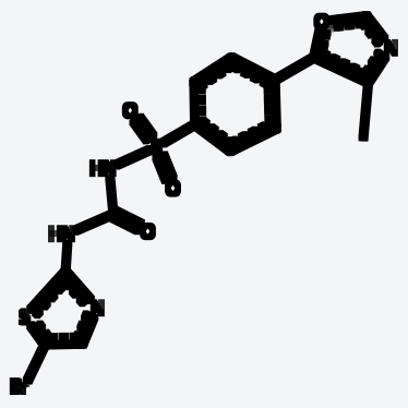 Cc1ncoc1-c1ccc(S(=O)(=O)NC(=O)Nc2ncc(Br)s2)cc1